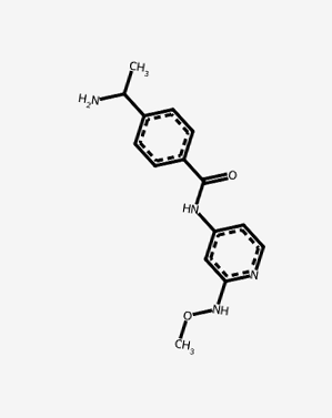 CONc1cc(NC(=O)c2ccc(C(C)N)cc2)ccn1